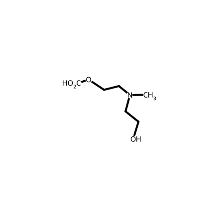 CN(CCO)CCOC(=O)O